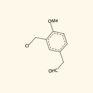 COc1ccc(CC=O)cc1CCl